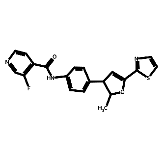 CC1OC(c2nccs2)=CC1c1ccc(NC(=O)c2ccncc2F)cc1